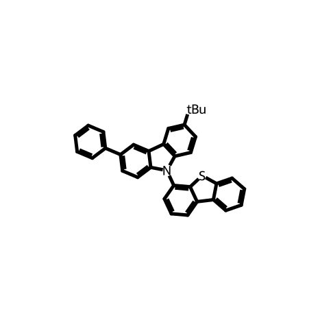 CC(C)(C)c1ccc2c(c1)c1cc(-c3ccccc3)ccc1n2-c1cccc2c1sc1ccccc12